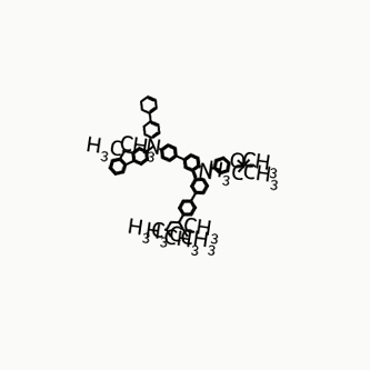 CC(C)CC(c1ccc(-c2ccc3c(c2)c2cc(-c4ccc(N(C5=CC=C(C6=CC=CCC6)CC5)c5ccc6c(c5)C(C)(C)c5ccccc5-6)cc4)ccc2n3-c2ccc(OC(C)(C)C)cc2)cc1)C(C)(C)C